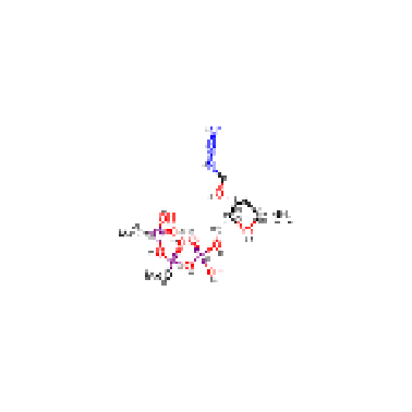 B[C@H]1C[C@@H](OCN=[N+]=[N-])[C@@H](COP(=O)(O)OP(=O)(OC)OP(=O)(O)OC)O1